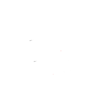 COc1cccc2c1C(=O)c1c(O)c3c(c(O)c1C2=O)C[C@@H](C(=O)CO)CC3O[C@H]1CC[C@@H](O)[C@H](C)O1